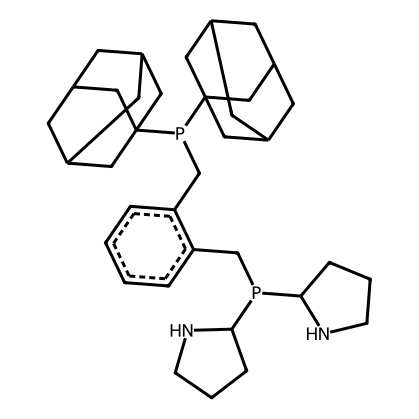 c1ccc(CP(C23CC4CC(CC(C4)C2)C3)C23CC4CC(CC(C4)C2)C3)c(CP(C2CCCN2)C2CCCN2)c1